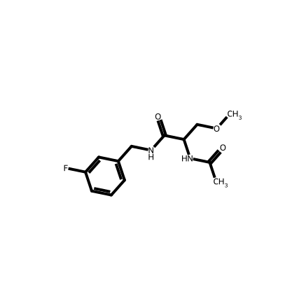 COCC(NC(C)=O)C(=O)NCc1cccc(F)c1